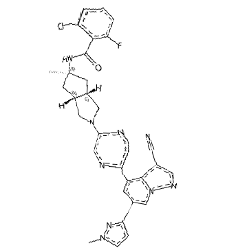 Cn1ccc(-c2cc(-c3cnc(N4C[C@@H]5C[C@@](C)(NC(=O)c6c(F)cccc6Cl)C[C@@H]5C4)cn3)c3c(C#N)cnn3c2)n1